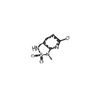 CN1c2nc(Cl)ccc2NS1(=O)=O